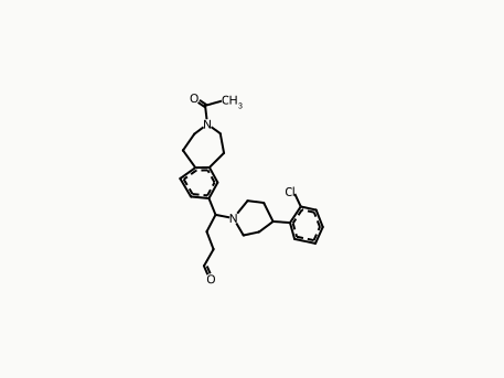 CC(=O)N1CCc2ccc(C(CCC=O)N3CCC(c4ccccc4Cl)CC3)cc2CC1